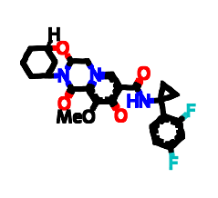 COc1c2n(cc(C(=O)NC3(c4ccc(F)cc4F)CC3)c1=O)CC1O[C@@H]3CCCC(C3)N1C2=O